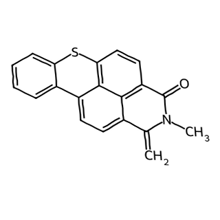 C=c1c2ccc3c4c(ccc(c(=O)n1C)c42)Sc1ccccc1-3